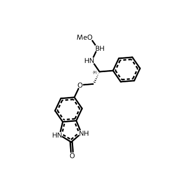 COBN[C@@H](COc1ccc2[nH]c(=O)[nH]c2c1)c1ccccc1